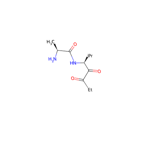 CCC(=O)C(=O)[C@@H](NC(=O)[C@H](C)N)C(C)C